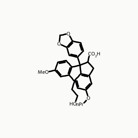 CCCOc1ccc2c(c1)CC(C(=O)O)C2(c1ccc2c(c1)OCO2)c1ccc(OC)cc1CCCO